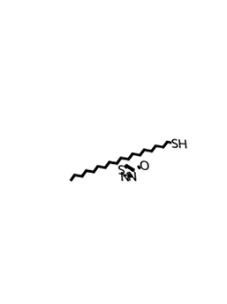 C=O.CCCCCCCCCCCCCCCCCCS.c1csnn1